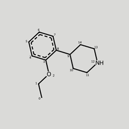 CCOc1[c]cccc1C1CCNCC1